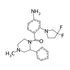 CN1CCN(C(=O)c2ccc(N)cc2N2CCC(F)(F)C2)C(c2ccccc2)C1